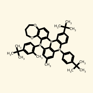 Cc1cc2c3c(c1)N(c1ccc(C(C)(C)C)cc1C)c1c(ccc4c1OCCCO4)B3c1cc(C(C)(C)C)ccc1N2c1ccc(C(C)(C)C)cc1